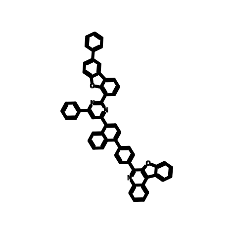 c1ccc(-c2ccc3oc4c(-c5nc(-c6ccccc6)cc(-c6ccc(-c7ccc(-c8nc9ccccc9c9c8oc8ccccc89)cc7)c7ccccc67)n5)cccc4c3c2)cc1